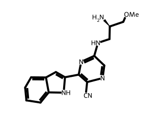 COC[C@H](N)CNc1cnc(C#N)c(-c2cc3ccccc3[nH]2)n1